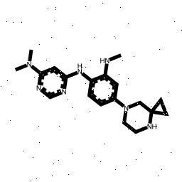 CNc1cc(N2CCNC3(CC3)C2)ccc1Nc1cc(N(C)C)ncn1